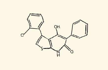 O=c1[nH]c2scc(-c3ccccc3Cl)c2c(O)c1-c1ccccc1